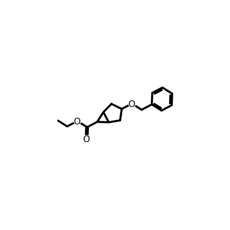 CCOC(=O)C1C2CC(OCc3ccccc3)CC21